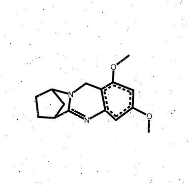 COc1cc2c(c(OC)c1)CN1C(=N2)C2CCC1C2